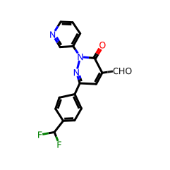 O=Cc1cc(-c2ccc(C(F)F)cc2)nn(-c2cccnc2)c1=O